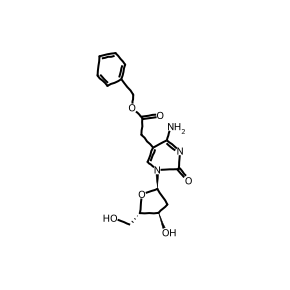 Nc1nc(=O)n([C@H]2C[C@@H](O)[C@H](CO)O2)cc1CC(=O)OCc1ccccc1